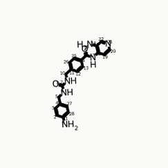 Nc1ccc(CNC(=O)NCc2ccc(C(=O)Nc3ccncc3N)cc2)cc1